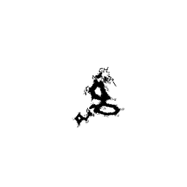 Cc1nc2c(F)cc(C3=CCCCc4nc(CC5CCC5)ncc43)cc2n1C(C)C